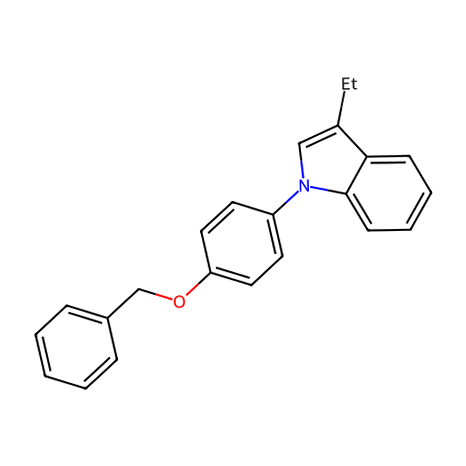 CCc1cn(-c2ccc(OCc3ccccc3)cc2)c2ccccc12